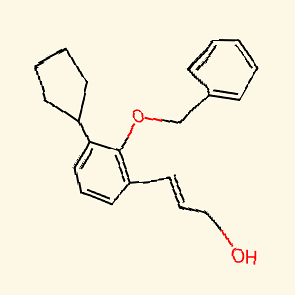 OC/C=C/c1cccc(C2CCCC2)c1OCc1ccccc1